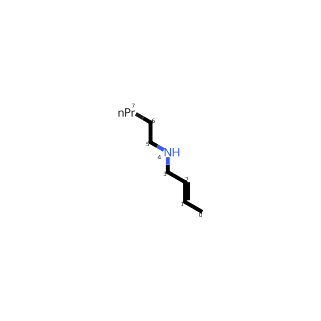 CC=CCNCCCCC